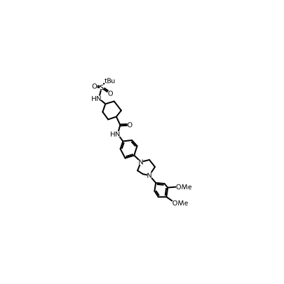 COc1ccc(N2CCN(c3ccc(NC(=O)C4CCC(NS(=O)(=O)C(C)(C)C)CC4)cc3)CC2)cc1OC